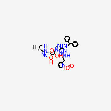 CCc1nnc([C@H]2O[C@@H](n3cnc4c(NCC(c5ccccc5)c5ccccc5)nc(NCCc5ccccn5)nc43)[C@H](O)[C@@H]2O)[nH]1.O=CO